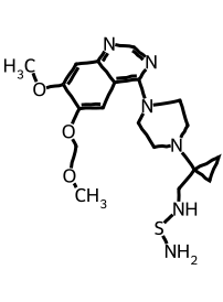 COCOc1cc2c(N3CCN(C4(CNSN)CC4)CC3)ncnc2cc1OC